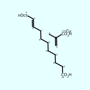 C=C(C)C(=O)O.CCCCCCCC/C=C/CCCCCCCC(=O)O.[Cu]